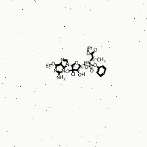 CCOc1nc(N)nc2c1ncn2[C@@H]1O[C@H](COP(=O)(N[C@@H](C)C(=O)OC(C)C)Oc2ccccc2)[C@@H](O)C1(Cl)Cl